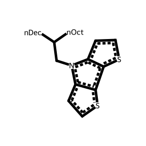 CCCCCCCCCCC(CCCCCCCC)Cn1c2ccsc2c2sccc21